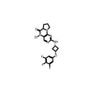 CCN1C(=O)C2CCCN2c2nc(N[C@H]3C[C@H](Oc4cc(F)c(F)c(F)c4)C3)ncc21